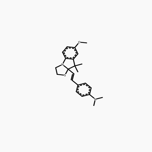 COc1ccc2c(c1)C(C)(C)C1(/C=C/c3ccc(N(C)C)cc3)SCCN21